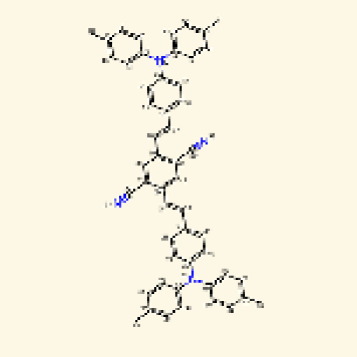 Cc1ccc(N(c2ccc(C)cc2)c2ccc(C=Cc3cc(C#N)c(C=Cc4ccc(N(c5ccc(C)cc5)c5ccc(C)cc5)cc4)cc3C#N)cc2)cc1